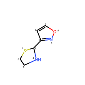 c1cc(C2NCCS2)no1